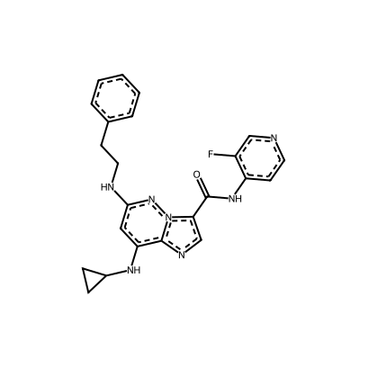 O=C(Nc1ccncc1F)c1cnc2c(NC3CC3)cc(NCCc3ccccc3)nn12